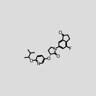 CC(C)C(C)Oc1ccc(O[C@@H]2CCN(c3cc(F)c4c(c3)C(=O)CC4)C2=O)cn1